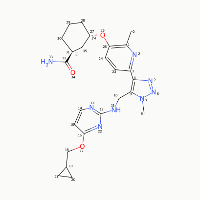 Cc1nc(-c2nnn(C)c2CNc2nccc(OCC3CC3)n2)ccc1O[C@H]1CCC[C@H](C(N)=O)C1